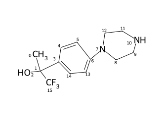 CC(O)(c1ccc(N2CCNCC2)cc1)C(F)(F)F